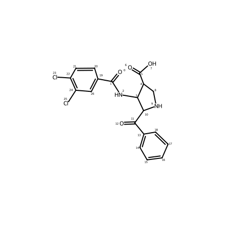 O=C(NC1C(C(=O)O)CNC1C(=O)c1ccccc1)c1ccc(Cl)c(Cl)c1